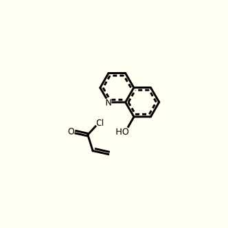 C=CC(=O)Cl.Oc1cccc2cccnc12